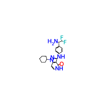 NC(c1ccc(Nc2nn(C3CCCCC3)c3cc[nH]c(=O)c23)cc1)C(F)F